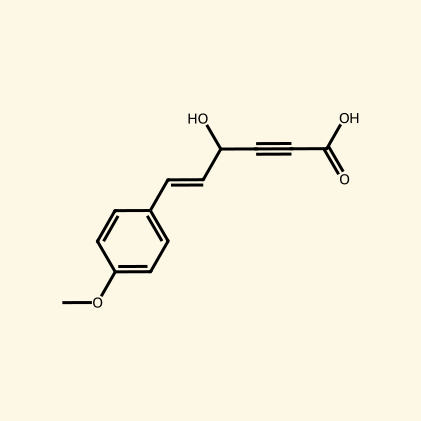 COc1ccc(C=CC(O)C#CC(=O)O)cc1